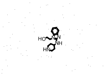 OCCn1c(NC2CCNCC2)nc2ccccc21